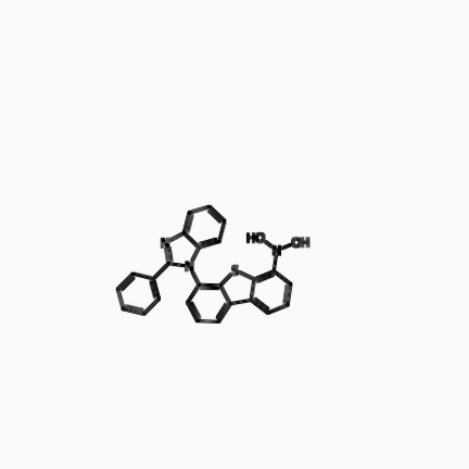 ON(O)c1cccc2c1sc1c(-n3c(-c4ccccc4)nc4ccccc43)cccc12